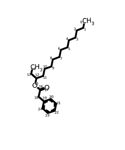 CCCCCCCCCCCCC(CC)OC(=O)Cc1ccccc1